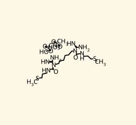 CS(=O)(=O)O.CS(=O)(=O)O.CSCCCNC(=O)N(CCCCCCN(C(=N)N)C(=O)NCCCSC)C(=N)N